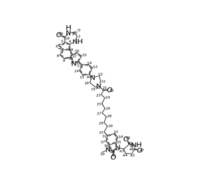 C[C@@H]1CNc2c(sc3ccc4nc(-c5ccc(N6CCN(C(=O)CCCCCCCCCc7ccc8c(c7)n(C)c(=O)n8C7CCC(=O)NC7=O)CC6)cc5)ccc4c23)C(=O)N1